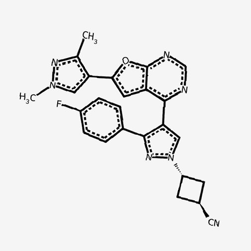 Cc1nn(C)cc1-c1cc2c(-c3cn([C@H]4C[C@H](C#N)C4)nc3-c3ccc(F)cc3)ncnc2o1